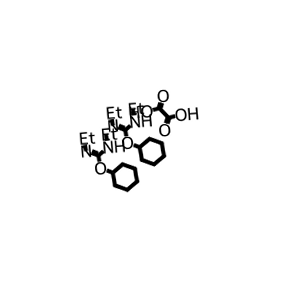 CCN=C(NCC)OC1CCCCC1.CCN=C(NCC)OC1CCCCC1.O=C(O)C(=O)O